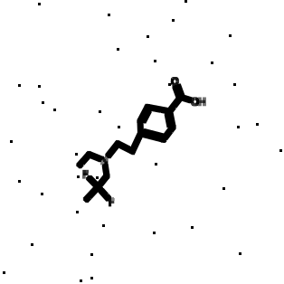 CCN(CCc1ccc(C(=O)O)cc1)CC(C)(F)F